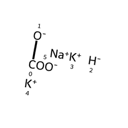 O=C([O-])[O-].[H-].[K+].[K+].[Na+]